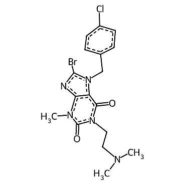 CN(C)CCn1c(=O)c2c(nc(Br)n2Cc2ccc(Cl)cc2)n(C)c1=O